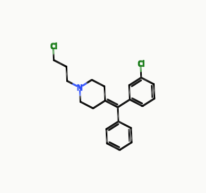 ClCCCN1CCC(=C(c2ccccc2)c2cccc(Cl)c2)CC1